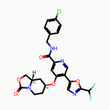 O=C(NCc1ccc(Cl)cc1)c1cc(O[C@H]2CCN3C(=O)OC[C@@H]3C2)c(-c2cnc(C(F)F)o2)cn1